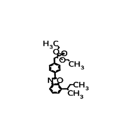 CCOP(=O)(Cc1ccc(-c2nc3cccc(C(C)CC)c3o2)cc1)OCC